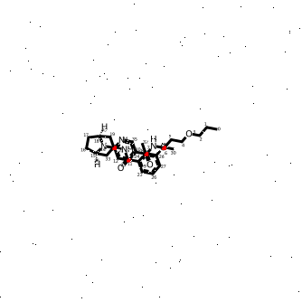 CCCOCCCNC(=O)c1ccc(N2[C@@H]3CC[C@H]2C[C@@H](NC(=O)c2cccc(OC)c2C)C3)nc1